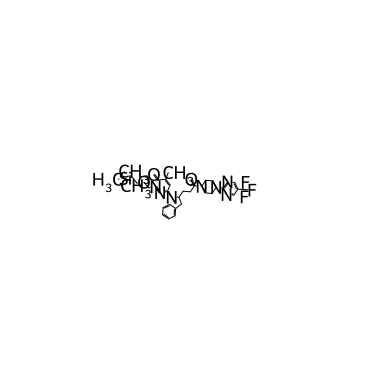 Cc1cc(N2c3ccccc3CC2CCC(=O)N2CCN(c3ncc(C(F)(F)F)cn3)CC2)nn(COCC[Si](C)(C)C)c1=O